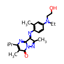 CCN(CCO)c1ccc(N=C2C(C)=Nn3c2nc(C(C)C)c(C)c3=O)c(C)c1